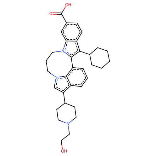 O=C(O)c1ccc2c(C3CCCCC3)c3n(c2c1)CCCn1cc(C2CCN(CCO)CC2)c2cccc-3c21